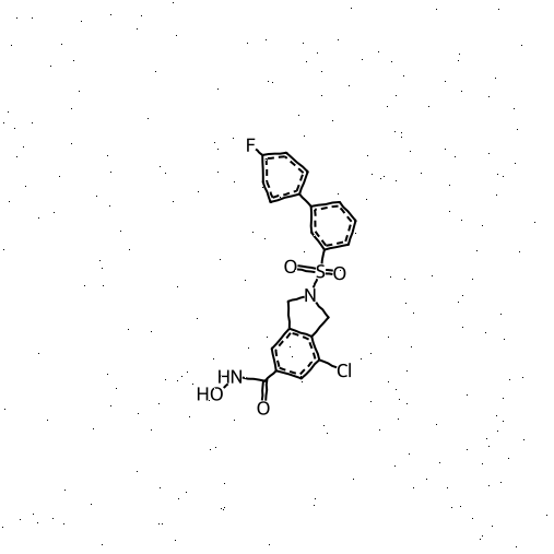 O=C(NO)c1cc(Cl)c2c(c1)CN(S(=O)(=O)c1cccc(-c3ccc(F)cc3)c1)C2